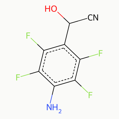 N#CC(O)c1c(F)c(F)c(N)c(F)c1F